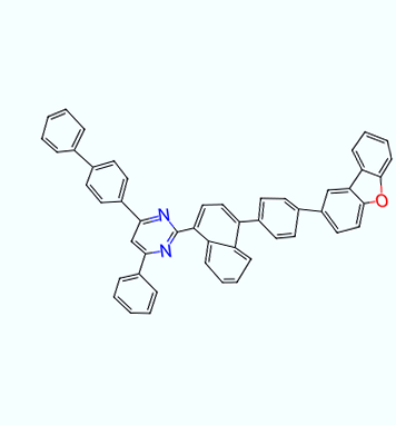 c1ccc(-c2ccc(-c3cc(-c4ccccc4)nc(-c4ccc(-c5ccc(-c6ccc7oc8ccccc8c7c6)cc5)c5ccccc45)n3)cc2)cc1